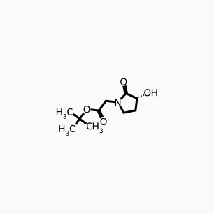 CC(C)(C)OC(=O)CN1CC[C@@H](O)C1=O